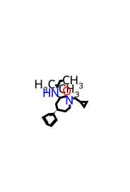 CCC(C)(C)N[C@@H]1C[C@@H](c2ccccc2)CCN(CC2CC2)C1=O